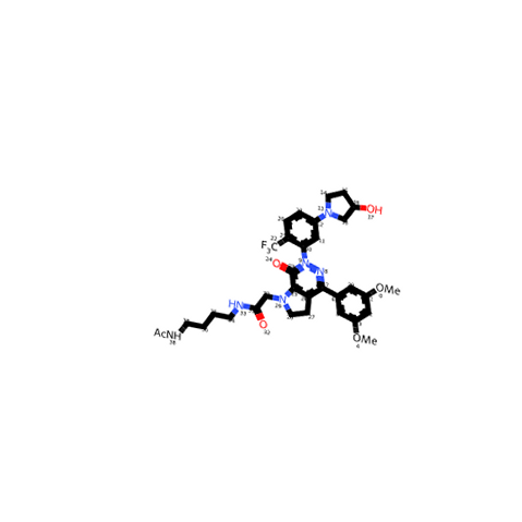 COc1cc(OC)cc(-c2nn(-c3cc(N4CCC(O)C4)ccc3C(F)(F)F)c(=O)c3c2CCN3CC(=O)NCCCCNC(C)=O)c1